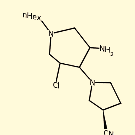 CCCCCCN1CC(N)C(N2CC[C@@H](C#N)C2)C(Cl)C1